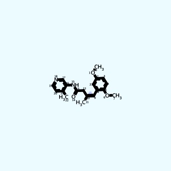 COc1ccc(OC)c(/C=C(/C)CC(=O)Nc2cnccc2C)c1